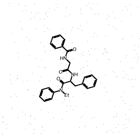 CCN(C(=O)C(Cc1ccccc1)NC(=O)CNC(=O)c1ccccc1)c1ccccc1